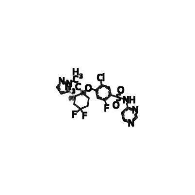 Cn1nccc1[C@H]1CC(F)(F)CC[C@]1(C)Oc1cc(F)c(S(=O)(=O)Nc2ccncn2)cc1Cl